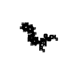 COC(=O)NN=C(C)c1ccc2nnn(Cc3ccc4ncccc4c3)c2n1